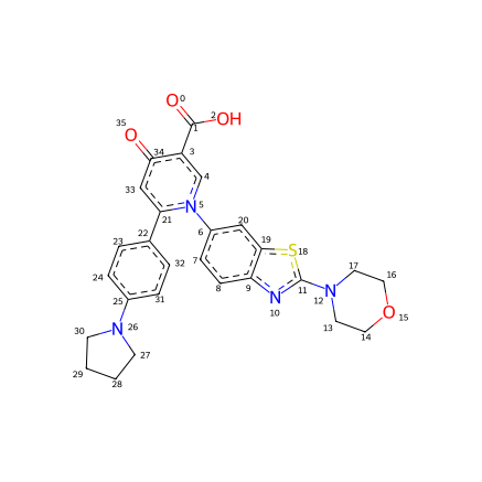 O=C(O)c1cn(-c2ccc3nc(N4CCOCC4)sc3c2)c(-c2ccc(N3CCCC3)cc2)cc1=O